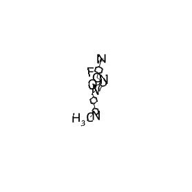 Cc1cc(-c2ccc(CN3Cc4ccnc(Oc5ccc(C#N)cc5F)c4C3=O)cc2)ccn1